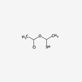 CC(S)OC(C)Cl